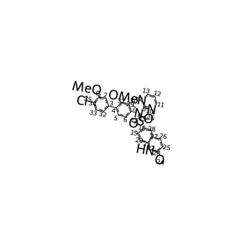 COc1cc(-c2ccc(N(c3ncccn3)S(=O)(=O)c3ccc4[nH]c(=O)ccc4c3)c(OC)c2)ccc1Cl